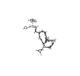 CC(C)(C)[S@@+]([O-])/N=C/c1ccc2ncn(C3CC3)c2c1